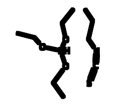 CCCN=C=S.CCO[SiH](OCC)OCC